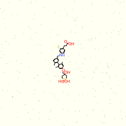 Cc1ccc(CNc2ccc(CCC(=O)O)c(F)c2)cc1-c1c(C)cc(OCC2(O)CCS(O)(O)CC2)cc1C